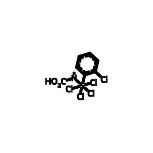 CN(C(=O)O)S(Cl)(Cl)(Cl)(Cl)c1ccccc1Cl